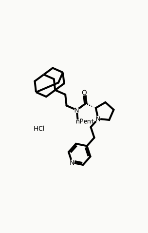 CCCCCN(CCC12CC3CC(CC(C3)C1)C2)C(=O)[C@@H]1CCCN1CCc1ccncc1.Cl